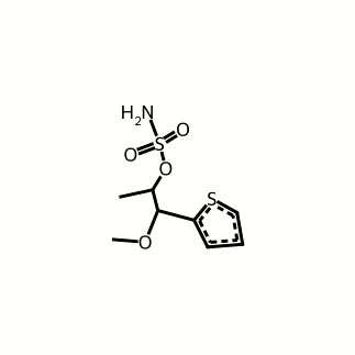 COC(c1cccs1)C(C)OS(N)(=O)=O